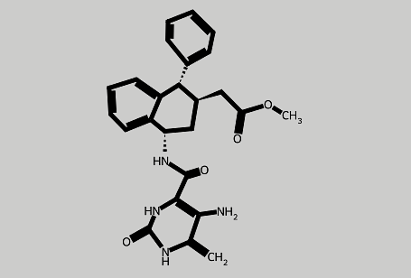 C=C1NC(=O)NC(C(=O)N[C@H]2C[C@H](CC(=O)OC)[C@@H](c3ccccc3)c3ccccc32)=C1N